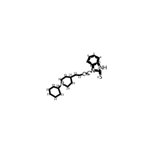 S=c1[nH]c2ccccc2n1CCCCC1CCN(C2CCCCC2)CC1